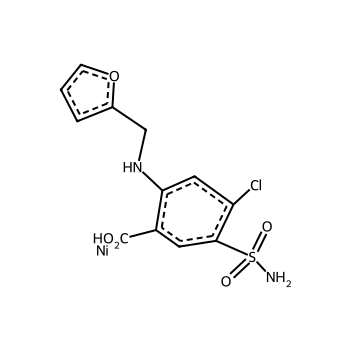 NS(=O)(=O)c1cc(C(=O)O)c(NCc2ccco2)cc1Cl.[Ni]